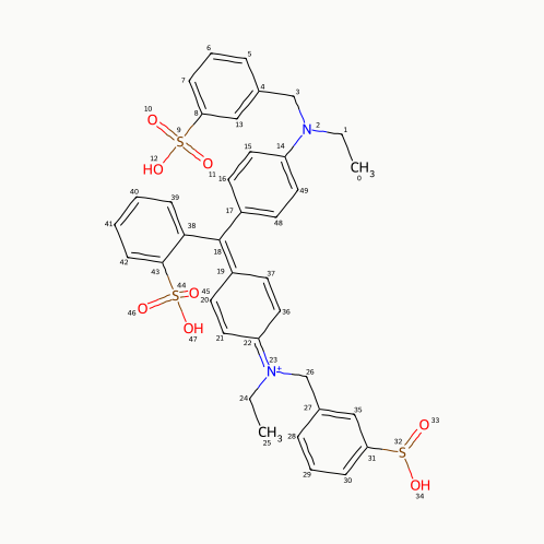 CCN(Cc1cccc(S(=O)(=O)O)c1)c1ccc(C(=C2C=CC(=[N+](CC)Cc3cccc(S(=O)O)c3)C=C2)c2ccccc2S(=O)(=O)O)cc1